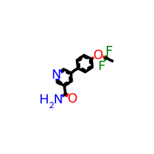 CC(F)(F)Oc1ccc(-c2cncc(C(N)=O)c2)cc1